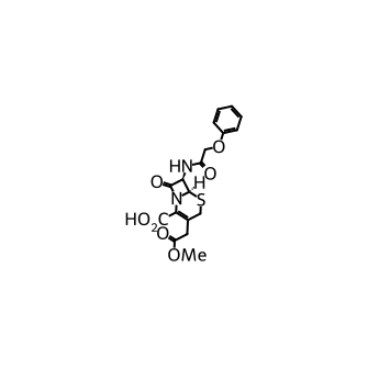 COC(=O)CC1=C(C(=O)O)N2C(=O)[C@@H](NC(=O)COc3ccccc3)[C@H]2SC1